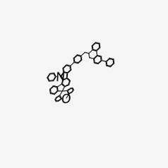 c1ccc(-c2ccc3c(c2)-c2ccccc2C(Cc2ccc(-c4ccc5c(c4)c4ccc6c(c4n5-c4ccccc4)-c4ccccc4C64c5ccccc5Oc5ccccc54)cc2)C3)cc1